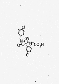 O=C(O)CN1C(=O)C2(CC(=O)N(Cc3ccc(Cl)nc3)C2=O)c2cc(Cl)ccc21